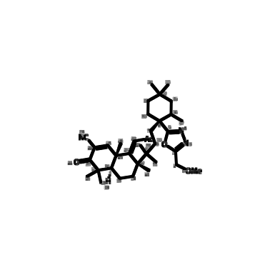 COCc1nnc([C@]2(CCC(C)(C)[C@]3(C)CC[C@H]4C(C)(C)C(=O)C(C#N)=C[C@]4(C)/C3=C/C(C)=O)CCC(C)(C)CC2C)o1